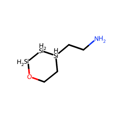 NCC[SiH]1CCO[SiH2][SiH2]1